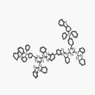 C1=CC2N=C3N(c4nc(-c5ccc([Si](c6ccccc6)(c6ccccc6)c6ccc7sc8ccccc8c7c6)cc5)nc(-n5c6ccccc6n6c7cc(-c8ccc9nc%10n(-c%11nc(-c%12ccc([Si](c%13ccccc%13)(c%13ccccc%13)c%13cccc%14c%13sc%13ccccc%13%14)cc%12)nc(-n%12c%13ccccc%13n%13c%14ccccc%14nc%12%13)n%11)c%11ccccc%11n%10c9c8)ccc7nc56)n4)c4ccccc4N3C2C=C1